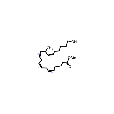 COC(=O)CCC/C=C\C/C=C\C/C=C\C(C)/C=C\CCCCCO